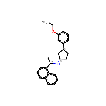 CCOC(=O)COc1cccc([C@H]2CC[C@H](N[C@H](C)c3cccc4ccccc34)C2)c1